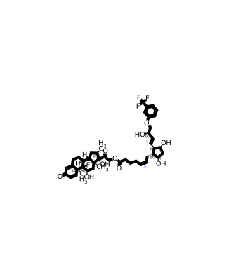 C[C@@H]1C[C@H]2[C@@H]3CCC4=CC(=O)C=C[C@]4(C)[C@@]3(F)[C@@H](O)C[C@]2(C)[C@@]1(O)C(=O)COC(=O)CCC/C=C\C[C@@H]1[C@@H](/C=C/[C@@H](O)COc2cccc(C(F)(F)F)c2)[C@H](O)C[C@@H]1O